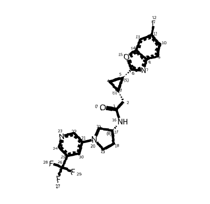 O=C(C[C@@H]1C[C@@H]1c1nc2ccc(F)cc2o1)N[C@@H]1CCN(c2cncc(C(F)(F)F)c2)C1